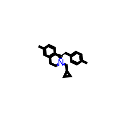 Cc1ccc(C[C@@H]2c3ccc(C)cc3CCN2CC2CC2)cc1